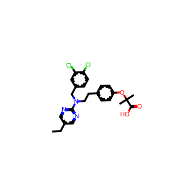 CCc1cnc(N(CCc2ccc(OC(C)(C)C(=O)O)cc2)Cc2ccc(Cl)c(Cl)c2)nc1